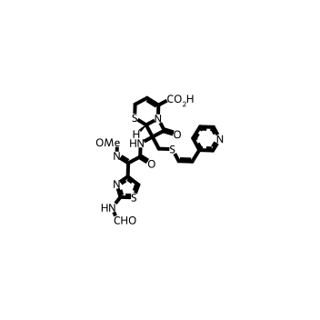 CON=C(C(=O)NC1(CS/C=C\c2cccnc2)C(=O)N2C(C(=O)O)=CCS[C@H]21)c1csc(NC=O)n1